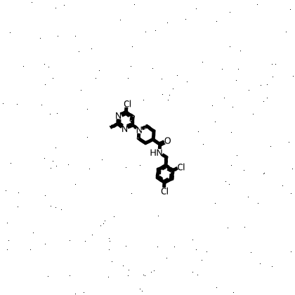 Cc1nc(Cl)cc(N2CCC(C(=O)NCc3ccc(Cl)cc3Cl)CC2)n1